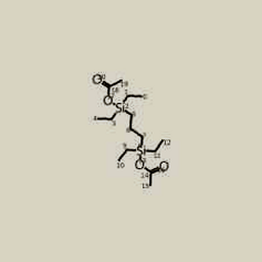 CC[Si](CC)(CCC[Si](CC)(CC)OC(C)=O)OC(C)=O